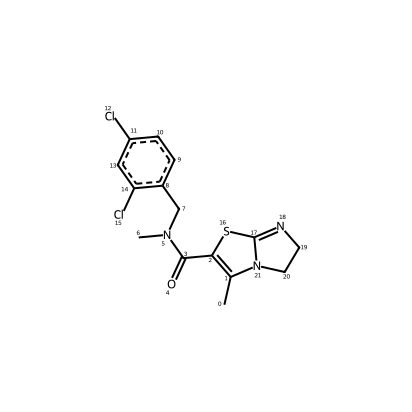 CC1=C(C(=O)N(C)Cc2ccc(Cl)cc2Cl)SC2=NCCN21